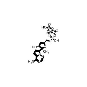 C[C@@]1(c2ccc3c(N)ncnn23)O[C@H](COP(=O)(O)OP(=O)(O)OP(=O)(O)O)C[C@H]1O